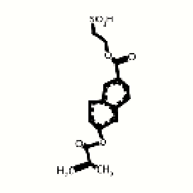 C=C(C)C(=O)Oc1ccc2cc(C(=O)OCCS(=O)(=O)O)ccc2c1